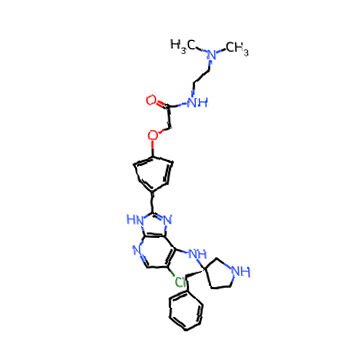 CN(C)CCNC(=O)COc1ccc(-c2nc3c(N[C@@]4(Cc5ccccc5)CCNC4)c(Cl)cnc3[nH]2)cc1